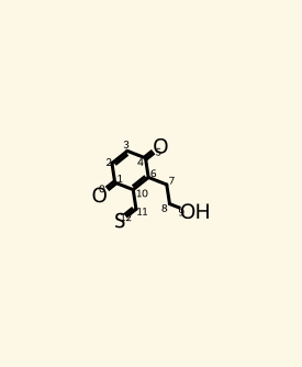 O=C1C=CC(=O)C(CCO)=C1C=S